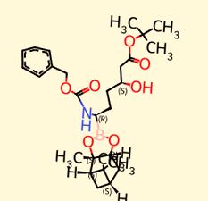 CC(C)(C)OC(=O)C[C@@H](O)CC[C@H](NC(=O)OCc1ccccc1)B1O[C@@H]2C[C@@H]3C[C@@H](C3(C)C)[C@]2(C)O1